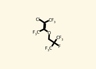 FC(F)(F)/C(Cl)=C(\OCC(F)(C(F)(F)F)C(F)(F)F)C(F)(F)F